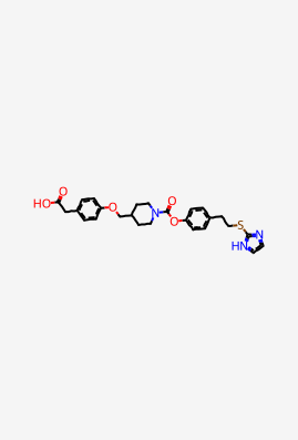 O=C(O)Cc1ccc(OCC2CCN(C(=O)Oc3ccc(CCSc4ncc[nH]4)cc3)CC2)cc1